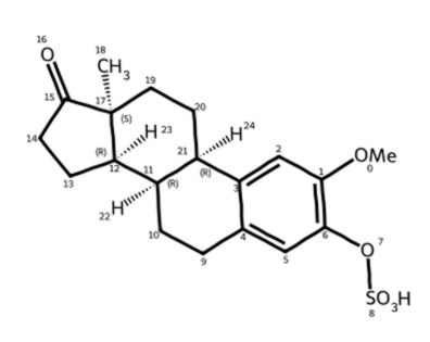 COc1cc2c(cc1OS(=O)(=O)O)CC[C@H]1[C@H]3CCC(=O)[C@@]3(C)CC[C@@H]21